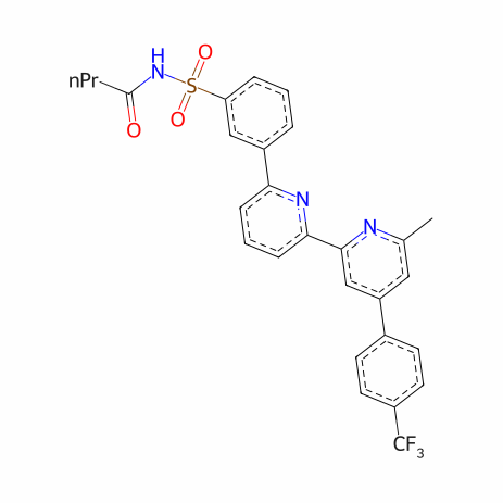 CCCC(=O)NS(=O)(=O)c1cccc(-c2cccc(-c3cc(-c4ccc(C(F)(F)F)cc4)cc(C)n3)n2)c1